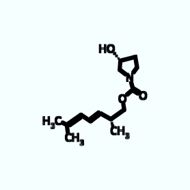 CC(C)=C/C=C/[C@@H](C)COC(=O)N1CC[C@@H](O)C1